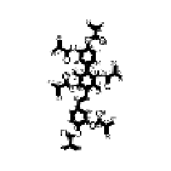 C=C(C)C(=O)Oc1ccc(/C=C/c2c(C)c(OC(=O)C(=C)C)c(-c3ccc(OC(=O)C(=C)C)c(OC(=O)C(=C)C)c3)c(C)c2OC(=O)C(=C)C)cc1OC(=O)C(=C)C